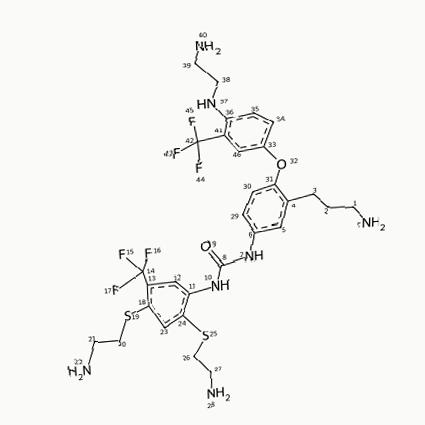 NCCCc1cc(NC(=O)Nc2cc(C(F)(F)F)c(SCCN)cc2SCCN)ccc1Oc1ccc(NCCN)c(C(F)(F)F)c1